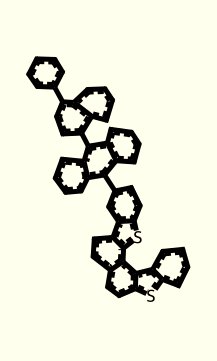 c1ccc(-c2ccc(-c3c4ccccc4c(-c4ccc5sc6c(ccc7ccc8sc9ccccc9c8c76)c5c4)c4ccccc34)c3ccccc23)cc1